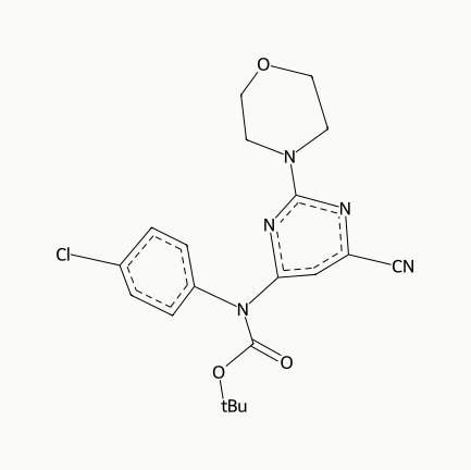 CC(C)(C)OC(=O)N(c1ccc(Cl)cc1)c1cc(C#N)nc(N2CCOCC2)n1